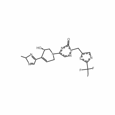 CC1N=CC(C2=CCN(c3cnn(Cc4cnc(C(F)(F)F)s4)c(=O)n3)C[C@@H]2O)=N1